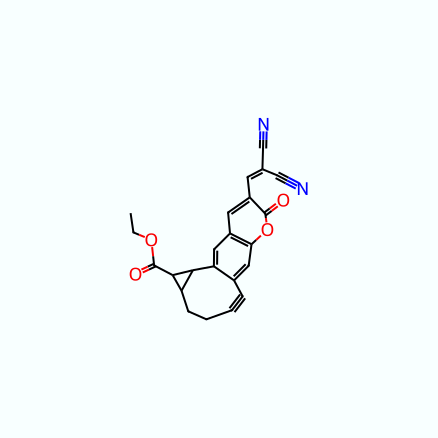 CCOC(=O)C1C2CCC#Cc3cc4oc(=O)c(C=C(C#N)C#N)cc4cc3C21